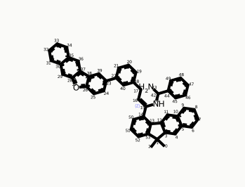 CC1(C)c2cc3ccccc3cc2-c2c(/C(=C/Cc3cccc(-c4ccc5oc6cc7ccccc7cc6c5c4)c3)NC(N)c3ccccc3)cccc21